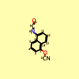 N#COc1cccc2c(N=C=O)cccc12